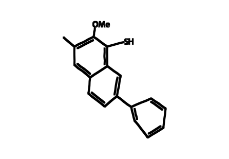 COc1c(C)cc2ccc(-c3ccccc3)cc2c1S